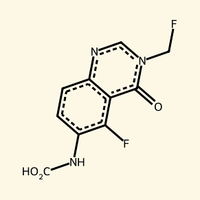 O=C(O)Nc1ccc2ncn(CF)c(=O)c2c1F